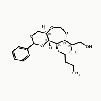 CCCCO[C@@H]1[C@@H]([C@H](O)CO)OCO[C@@H]2COC(c3ccccc3)O[C@@H]12